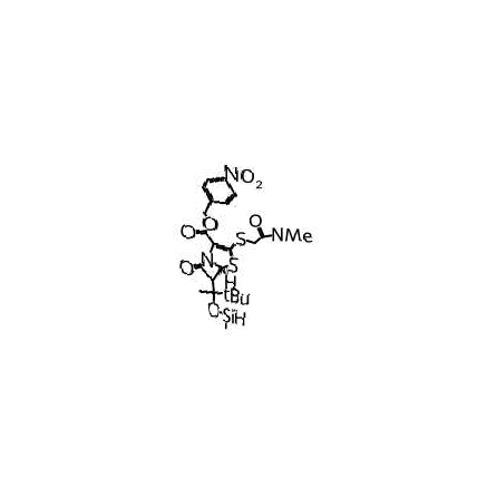 CNC(=O)CSC1=C(C(=O)OCc2ccc([N+](=O)[O-])cc2)N2C(=O)C(C(C)(O[SiH](C)C)C(C)(C)C)[C@H]2S1